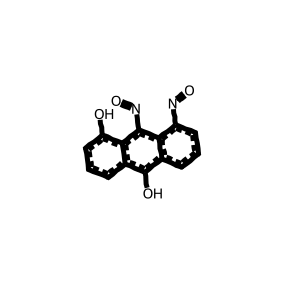 O=Nc1cccc2c(O)c3cccc(O)c3c(N=O)c12